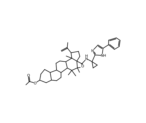 C=C(C)C1CCC2(C(=O)NC3(c4ncc(-c5ccccc5)[nH]4)CC3)C1(C)C1CCC3C4CCC(OC(C)=O)CC4CCC3C1C(C)(C)C2(C)C